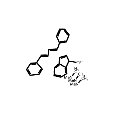 C(C=Cc1ccccc1)=Cc1ccccc1.C[N-]C.C[N-]C.C[N-]C.[Ti+3][CH]1C=Cc2ccccc21